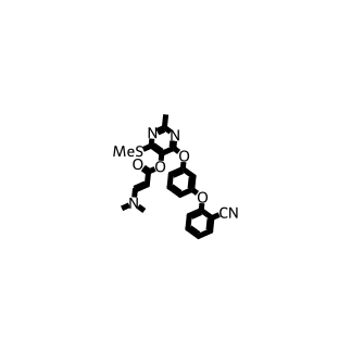 CSc1nc(C)nc(Oc2cccc(Oc3ccccc3C#N)c2)c1OC(=O)C=CN(C)C